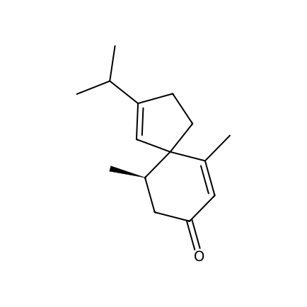 CC1=CC(=O)C[C@@H](C)C12C=C(C(C)C)CC2